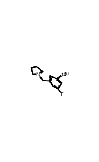 CC(C)(C)c1cc(F)cc(CN2CCCC2)c1